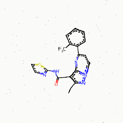 Cc1nn2ccc(-c3ccccc3C(F)(F)F)nc2c1C(=O)Nc1nccs1